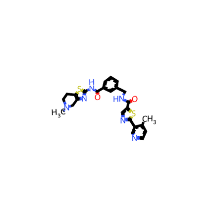 Cc1ccncc1-c1ncc(C(=O)NCc2cccc(C(=O)Nc3nc4c(s3)CCN(C)C4)c2)s1